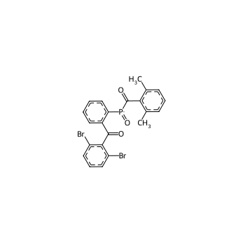 Cc1cccc(C)c1C(=O)[P](=O)c1ccccc1C(=O)c1c(Br)cccc1Br